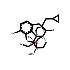 CO[C@]12CC[C@@]3(C[C@@H]1CC(C)=O)[C@H]1Cc4ccc(O)c5c4[C@@]3(CCN1CC1CC1)[C@H]2O5